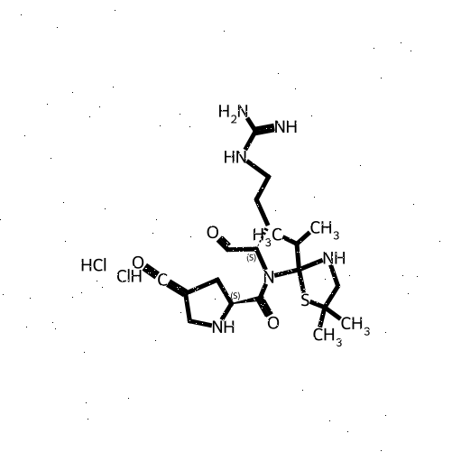 CC(C)C1(N(C(=O)[C@@H]2CC(=C=O)CN2)[C@H](C=O)CCCNC(=N)N)NCC(C)(C)S1.Cl.Cl